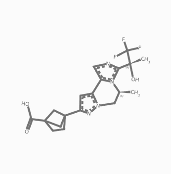 C[C@H]1Cn2nc(C34CCC(C(=O)O)(C3)C4)cc2-c2cnc([C@@](C)(O)C(F)(F)F)n21